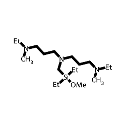 CCN(C)CCCN(CCCN(C)CC)C[Si](CC)(CC)OC